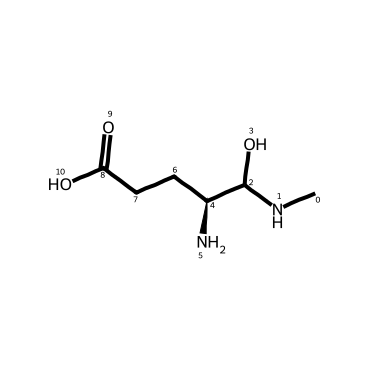 CNC(O)[C@@H](N)CCC(=O)O